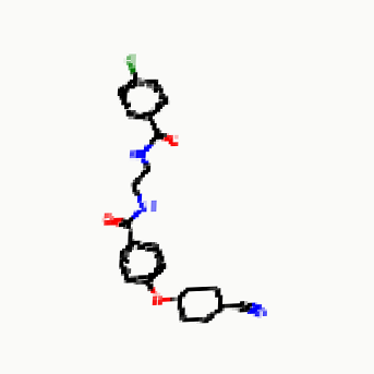 N#C[C@H]1CC[C@@H](Oc2ccc(C(=O)NCCNC(=O)c3ccc(Cl)cc3)cc2)CC1